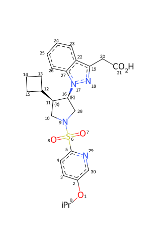 CC(C)Oc1ccc(S(=O)(=O)N2C[C@@H](C3CCC3)[C@@H](n3nc(CC(=O)O)c4ccccc43)C2)nc1